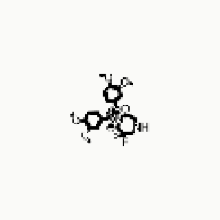 COc1ccc(S(=O)(=O)[N+]2(S(=O)(=O)c3ccc(OC)c(OC)c3)CCNCC(F)(F)C2)cc1OC